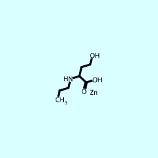 CCCNC(CCO)C(=O)O.[Zn]